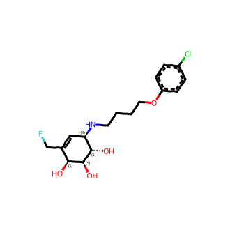 O[C@@H]1[C@@H](O)[C@@H](O)C(CF)=C[C@H]1NCCCCOc1ccc(Cl)cc1